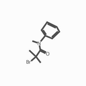 CN(C(=O)C(C)(C)Br)c1ccccc1